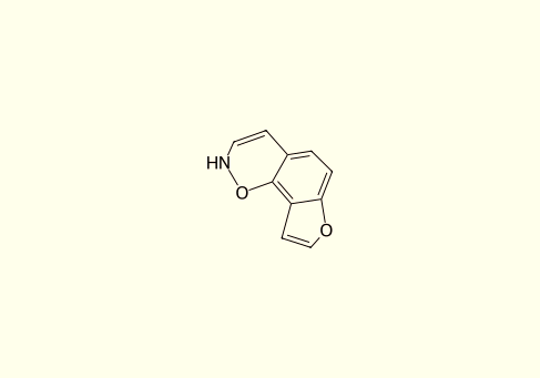 C1=Cc2ccc3occc3c2ON1